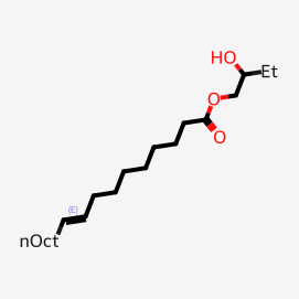 CCCCCCCC/C=C/CCCCCCCC(=O)OCC(O)CC